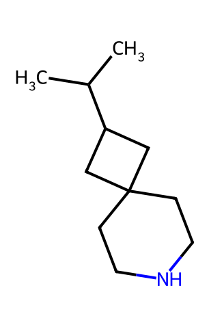 CC(C)C1CC2(CCNCC2)C1